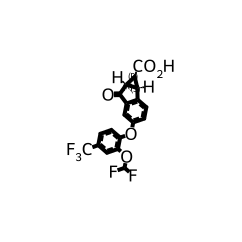 O=C(O)[C@H]1[C@@H]2C(=O)c3cc(Oc4ccc(C(F)(F)F)cc4OC(F)F)ccc3[C@H]12